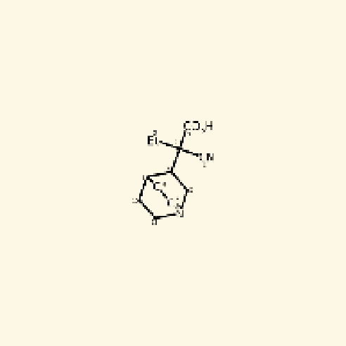 CCC(C#N)(C(=O)O)C1CN2CCC1CC2